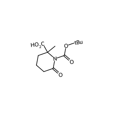 CC(C)(C)OC(=O)N1C(=O)CCCC1(C)C(=O)O